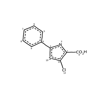 O=C(O)c1nc(-c2ccccc2)sc1Cl